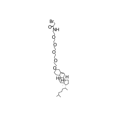 CC(C)CCCC(C)[C@H]1CC[C@H]2[C@@H]3CC=C4C[C@@H](OCCOCCOCCOCCOCCNC(=O)CBr)CC[C@]4(C)[C@H]3CC[C@]12C